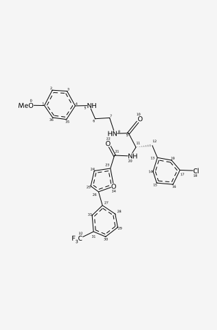 COc1ccc(NCCNC(=O)[C@H](Cc2cccc(Cl)c2)NC(=O)c2ccc(-c3cccc(C(F)(F)F)c3)o2)cc1